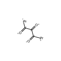 CC(C)C(=O)C(=O)C(=O)C(C)C